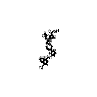 N#Cc1ccc(COc2cccc(C3CCN(Cc4nc5ccc(C(=O)O)cc5n4CC4CCO4)CC3)n2)c2ccccc12